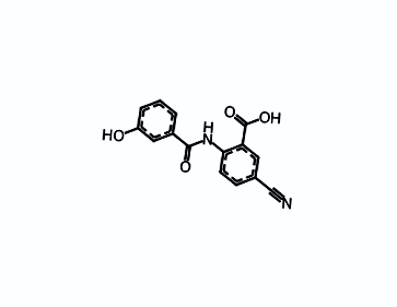 N#Cc1ccc(NC(=O)c2cccc(O)c2)c(C(=O)O)c1